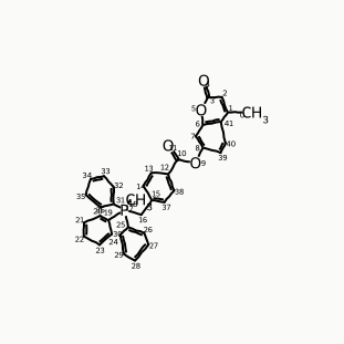 Cc1cc(=O)oc2cc(OC(=O)c3ccc(CP(C)(c4ccccc4)(c4ccccc4)c4ccccc4)cc3)ccc12